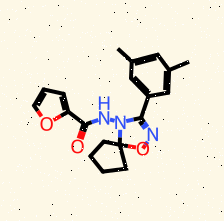 Cc1cc(C)cc(C2=NOC3(CCCC3)N2NC(=O)c2ccco2)c1